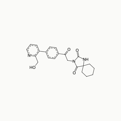 O=C(CN1C(=O)NC2(CCCCC2)C1=O)c1ccc(-c2cccnc2CO)cc1